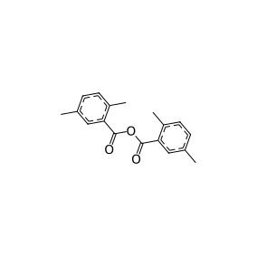 Cc1ccc(C)c(C(=O)OC(=O)c2cc(C)ccc2C)c1